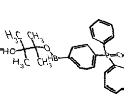 CC(C)(O)C(C)(C)OBc1ccc(P(=O)(c2ccccc2)c2ccccc2)cc1